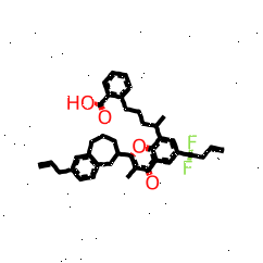 C=CCc1ccc2c(c1)CCCC(c1oc3c(C(C)CCCc4ccccc4C(=O)O)cc(C(F)(F)CC=C)cc3c(=O)c1C)C2